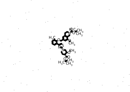 COc1cc(COc2c(C)cccc2-c2csc(N3CC[C@H](C(=O)OC(C)(C)C)[C@H](OC)C3)n2)cc2c1CN(C(=O)OC(C)(C)C)CC2